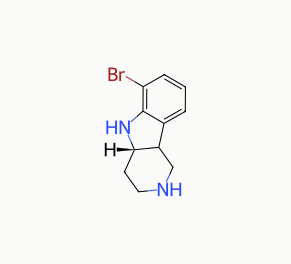 Brc1cccc2c1N[C@H]1CCNCC21